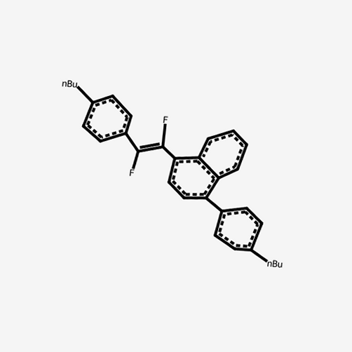 CCCCc1ccc(/C(F)=C(\F)c2ccc(-c3ccc(CCCC)cc3)c3ccccc23)cc1